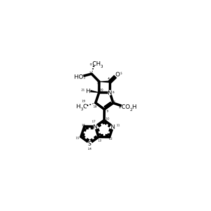 C[C@@H](O)[C@H]1C(=O)N2C(C(=O)O)=C(c3ncc4sccn34)[C@H](C)[C@H]12